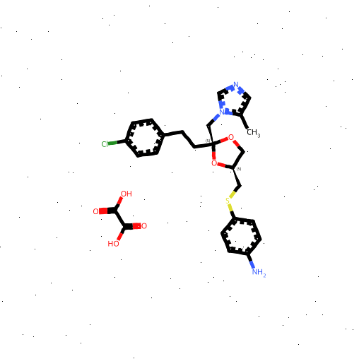 Cc1cncn1C[C@@]1(CCc2ccc(Cl)cc2)OC[C@@H](CSc2ccc(N)cc2)O1.O=C(O)C(=O)O